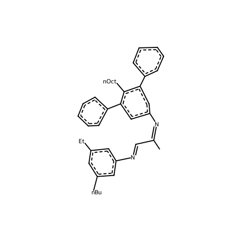 CCCCCCCCc1c(-c2ccccc2)cc(N=C(C)C=Nc2cc(CC)cc(CCCC)c2)cc1-c1ccccc1